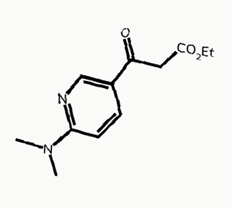 CCOC(=O)CC(=O)c1ccc(N(C)C)nc1